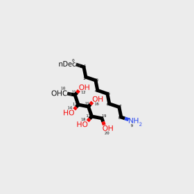 CCCCCCCCCCCCCCCCCCN.O=CC(O)C(O)C(O)C(O)CO